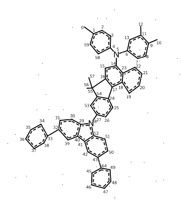 Cc1ccc(N(c2ccc(C)c(C)c2)c2cc3c(c4ccccc24)-c2ccc(-n4c5ccc(-c6ccccc6)cc5c5cc(-c6ccccc6)ccc54)cc2C3(C)C)cc1